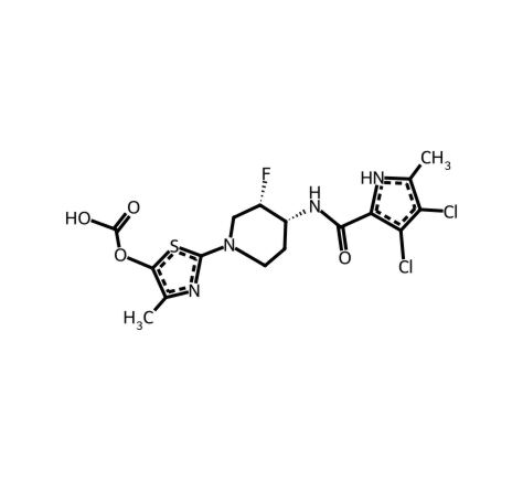 Cc1nc(N2CC[C@@H](NC(=O)c3[nH]c(C)c(Cl)c3Cl)[C@@H](F)C2)sc1OC(=O)O